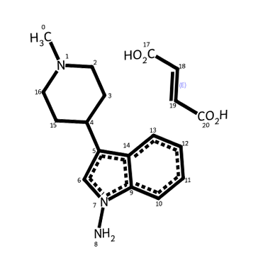 CN1CCC(c2cn(N)c3ccccc23)CC1.O=C(O)/C=C/C(=O)O